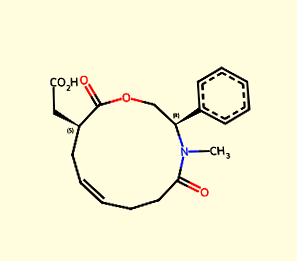 CN1C(=O)CCC=CC[C@@H](CC(=O)O)C(=O)OC[C@H]1c1ccccc1